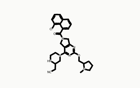 CN1CCCC1COc1nc2c(c(N3CCNC(CC#N)C3)n1)CN(C(=O)c1cccc3cccc(Cl)c13)C2